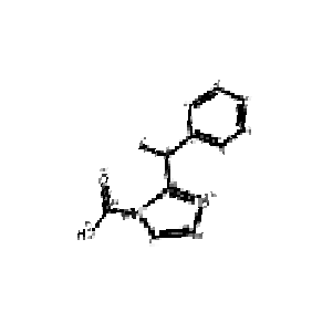 CC(c1ccccc1)c1nccn1C(=O)O